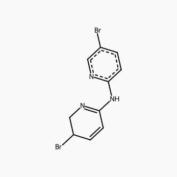 Brc1ccc(NC2=NCC(Br)C=C2)nc1